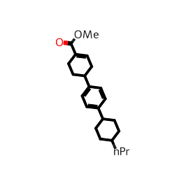 CCCC1CCC(c2ccc(C3CC=C(C(=O)OC)CC3)cc2)CC1